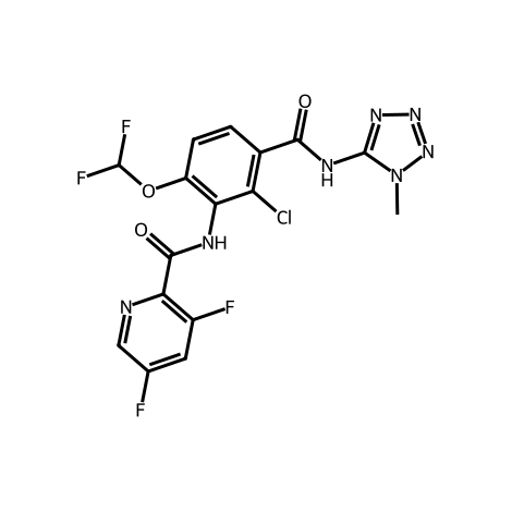 Cn1nnnc1NC(=O)c1ccc(OC(F)F)c(NC(=O)c2ncc(F)cc2F)c1Cl